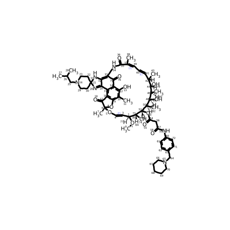 CO[C@H]1/C=C/O[C@@]2(C)Oc3c(C)c(O)c4c(c3C2=O)C2=NC3(CCN(CC(C)C)CC3)NC2=C(NC(=O)/C(C)=C\C=C\[C@H](C)[C@H](O)[C@@H](C)[C@@H](O)[C@@H](C)[C@H](OC(=O)CC(=O)Nc2ccc(CN3CCCCC3)cc2)[C@@H]1C)C4=O